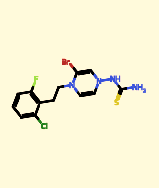 NC(=S)NN1C=CN(CCc2c(F)cccc2Cl)C(Br)=C1